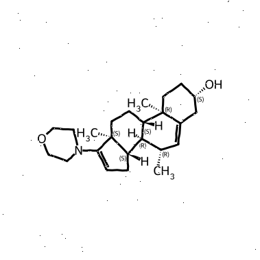 C[C@H]1C=C2C[C@@H](O)CC[C@]2(C)[C@H]2CC[C@]3(C)C(N4CCOCC4)=CC[C@H]3[C@H]12